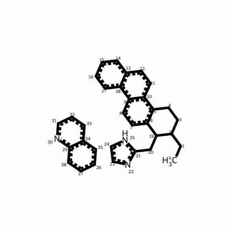 CCC1CCc2c(ccc3c2ccc2ccccc23)C1Cc1ncc[nH]1.c1ccc2ncccc2c1